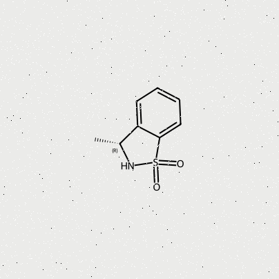 C[C@H]1NS(=O)(=O)c2ccccc21